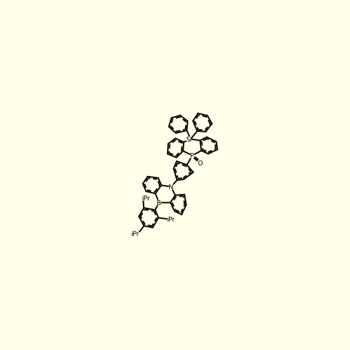 CC(C)c1cc(C(C)C)c(B2c3ccccc3N(c3ccc(P4(=O)c5ccccc5[Si](c5ccccc5)(c5ccccc5)c5ccccc54)cc3)c3ccccc32)c(C(C)C)c1